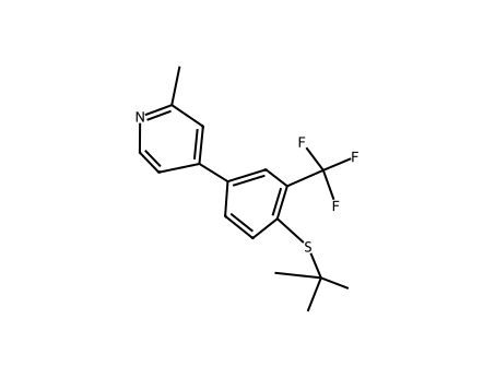 Cc1cc(-c2ccc(SC(C)(C)C)c(C(F)(F)F)c2)ccn1